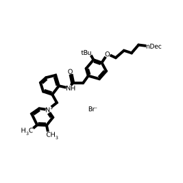 CCCCCCCCCCCCCCOc1ccc(CC(=O)Nc2ccccc2C[n+]2ccc(C)c(C)c2)cc1C(C)(C)C.[Br-]